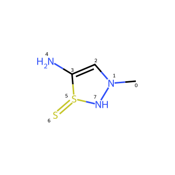 CN1C=C(N)S(=S)N1